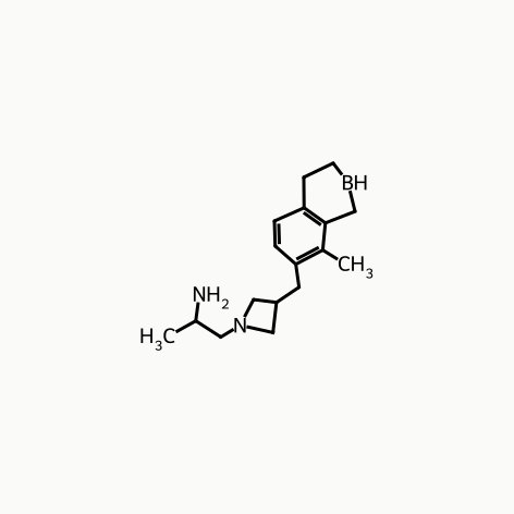 Cc1c(CC2CN(CC(C)N)C2)ccc2c1CBCC2